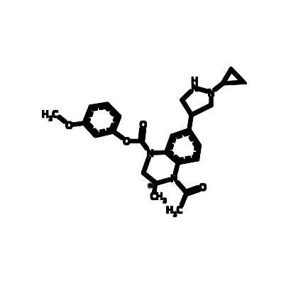 COc1cccc(OC(=O)N2C[C@H](C)N(C(C)=O)c3ccc(C4CNN(C5CC5)C4)cc32)c1